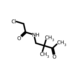 CC(=O)C(C)(C)CNC(=O)CCl